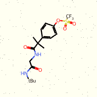 CC(C)(C)NC(=O)CNC(=O)C(C)(C)c1ccc(OS(=O)(=O)C(F)(F)F)cc1